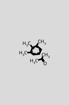 CC(C)=O.Cc1cccc(C)c1C